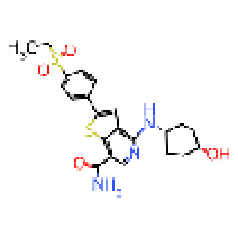 CCS(=O)(=O)c1ccc(-c2cc3c(N[C@H]4CC[C@H](O)CC4)ncc(C(N)=O)c3s2)cc1